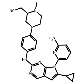 CN1CCN(c2ccc(Nc3ncc4cc(C5CC5)n(-c5cccc(N)n5)c4n3)cc2)CC1CC#N